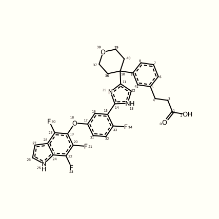 O=C(O)CCc1cccc(C2(c3c[nH]c(-c4cc(Oc5c(F)c(F)c6[nH]ccc6c5F)ccc4F)n3)CCOCC2)c1